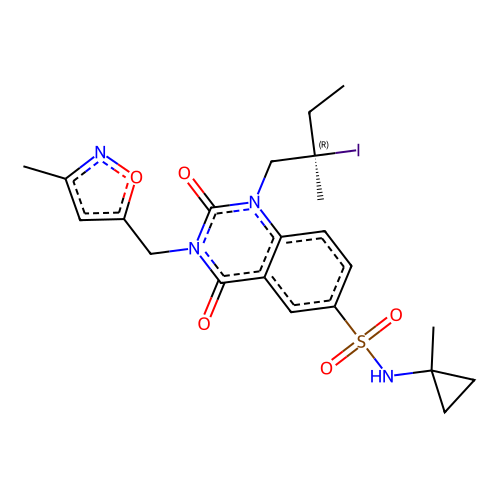 CC[C@@](C)(I)Cn1c(=O)n(Cc2cc(C)no2)c(=O)c2cc(S(=O)(=O)NC3(C)CC3)ccc21